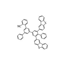 N#Cc1ccccc1-c1cc(-c2ccccc2)cc(-c2cc(-c3ccc4sc5ccccc5c4c3)c(-c3ccccc3)c(-c3ccc4sc5ccccc5c4c3)c2)c1